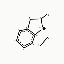 CC.CC1Cc2ccccc2N1